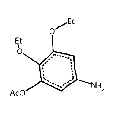 CCOc1cc(N)cc(OC(C)=O)c1OCC